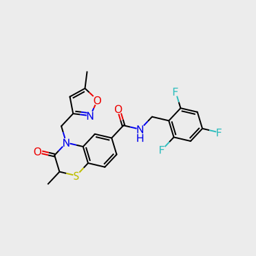 Cc1cc(CN2C(=O)C(C)Sc3ccc(C(=O)NCc4c(F)cc(F)cc4F)cc32)no1